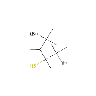 CC(C)C(C)(C)C(C)(S)C(C)C(C)(C)C(C)(C)C